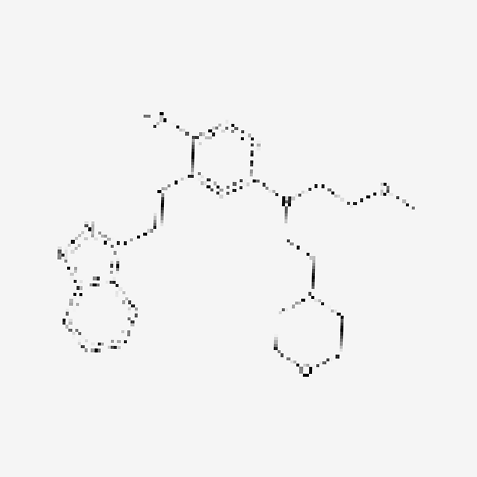 COCCN(CCN1CCOCC1)c1ccc(N)c(C=Cc2n[nH]c3ccccc23)c1